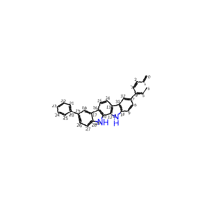 C=C/C=C\C(=C/C)c1ccc2[nH]c3c(ccc4c5cc(-c6ccccc6)ccc5[nH]c43)c2c1